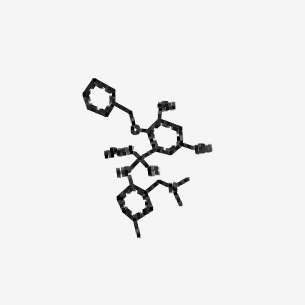 CCCCCC(CC)(Pc1ccc(C)cc1CN(C)C)c1cc(C(C)(C)C)cc(C(C)(C)C)c1OCc1ccccc1